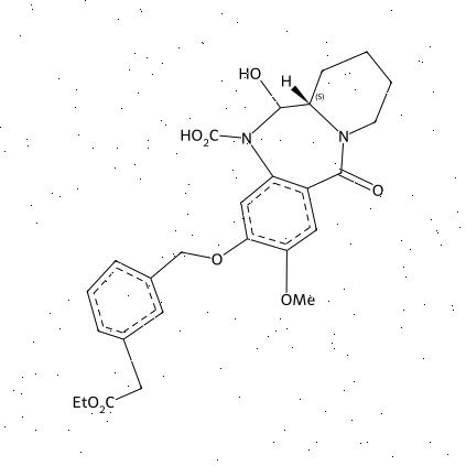 CCOC(=O)Cc1cccc(COc2cc3c(cc2OC)C(=O)N2CCCC[C@H]2C(O)N3C(=O)O)c1